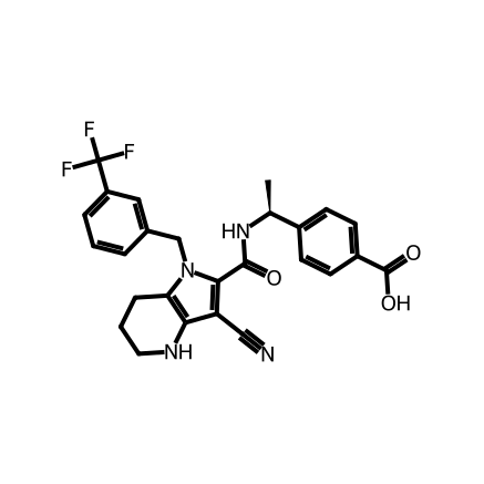 C[C@H](NC(=O)c1c(C#N)c2c(n1Cc1cccc(C(F)(F)F)c1)CCCN2)c1ccc(C(=O)O)cc1